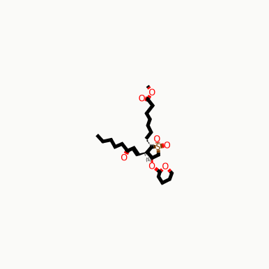 CCCCCC(=O)C=C[C@@H]1[C@H](OC2CCCCO2)CS(=O)(=O)[C@H]1CCCCCCC(=O)OC